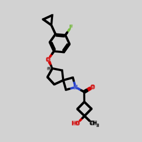 CC1(O)CC(C(=O)N2CC3(CC[C@@H](Oc4ccc(F)c(C5CC5)c4)C3)C2)C1